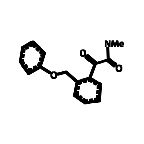 CNC(=O)C(=O)c1ccccc1COc1ccccc1